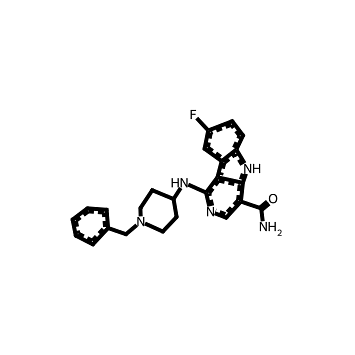 NC(=O)c1cnc(NC2CCN(Cc3ccccc3)CC2)c2c1[nH]c1ccc(F)cc12